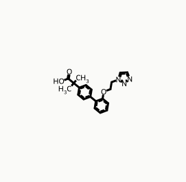 CC(C)(C(=O)O)c1ccc(-c2ccccc2OCCn2ccnn2)cc1